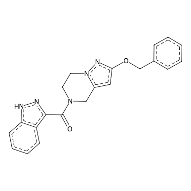 O=C(c1n[nH]c2ccccc12)N1CCn2nc(OCc3ccccc3)cc2C1